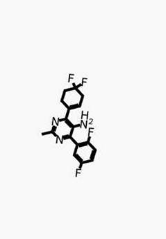 Cc1nc(C2=CCC(F)(F)CC2)c(N)c(-c2cc(F)ccc2F)n1